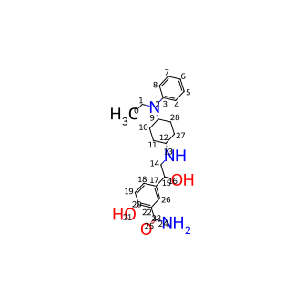 CCN(c1ccccc1)[C@H]1CC[C@@H](NCC(O)c2ccc(O)c(C(N)=O)c2)CC1